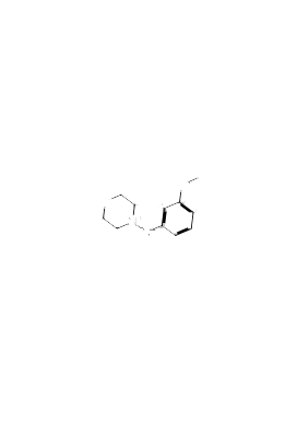 COc1cccc(NN2CCOCC2)c1